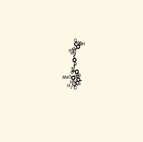 COc1cccc(Nc2c(C(N)=O)cnc3c(C)cc(S(=O)(=O)c4cccc(C(=O)N(C)CCOc5ccc(CCNC[C@H](OS)c6ccc(O)c7[nH]c(=O)ccc67)cc5)c4)cc23)c1